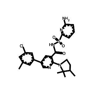 Cc1cc(Cl)cc(-c2cnc(N3CCC(C)C3(C)C)c(C(=O)NS(=O)(=O)c3cccc(N)n3)c2)c1